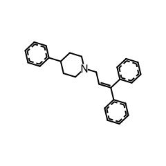 C(CN1CCC(c2ccccc2)CC1)=C(c1ccccc1)c1ccccc1